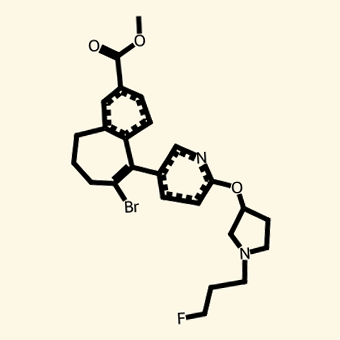 COC(=O)c1ccc2c(c1)CCCC(Br)=C2c1ccc(OC2CCN(CCCF)C2)nc1